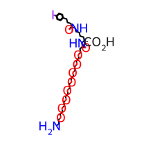 NCCOCCOCCOCCOCCOCCOCCOCCOCCC(=O)N[C@@H](CCCCNC(=O)CCCc1ccc(I)cc1)C(=O)O